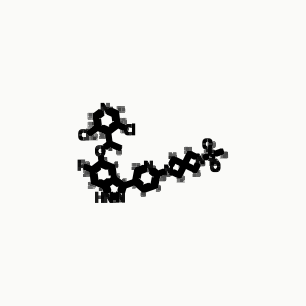 CC(Oc1cc2c(-c3ccc(N4CC5(C4)CN(S(C)(=O)=O)C5)nc3)n[nH]c2cc1F)c1c(Cl)cncc1Cl